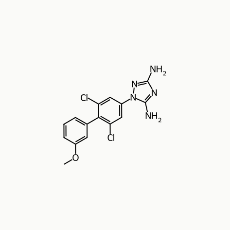 COc1cccc(-c2c(Cl)cc(-n3nc(N)nc3N)cc2Cl)c1